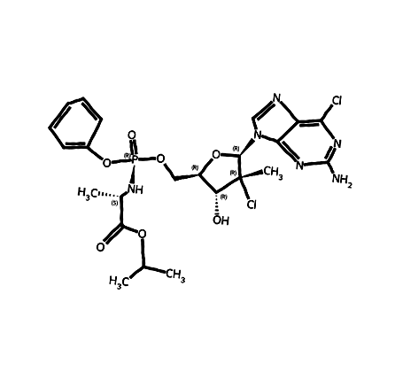 CC(C)OC(=O)[C@H](C)N[P@@](=O)(OC[C@H]1O[C@@H](n2cnc3c(Cl)nc(N)nc32)[C@](C)(Cl)[C@@H]1O)Oc1ccccc1